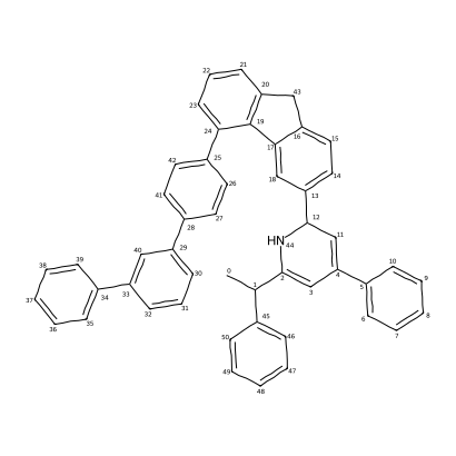 CC(C1=CC(c2ccccc2)=CC(c2ccc3c(c2)-c2c(cccc2-c2ccc(-c4cccc(-c5ccccc5)c4)cc2)C3)N1)c1ccccc1